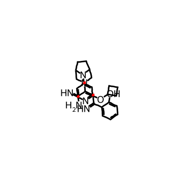 N=C(N)/C(=C\C(=N)c1ccccc1O)N1CC2CCC(C1)N2c1ccnc(OC2CCC2)c1